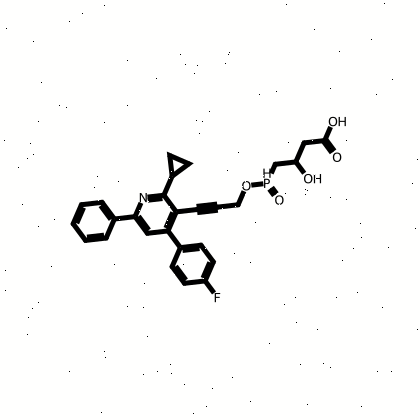 O=C(O)CC(O)C[PH](=O)OCC#Cc1c(-c2ccc(F)cc2)cc(-c2ccccc2)nc1C1CC1